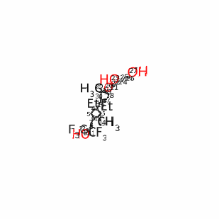 CCC(CC)(c1ccc(C#CC(O)(C(F)(F)F)C(F)(F)F)c(C)c1)c1ccc(OCC(O)CCCO)c(C)c1